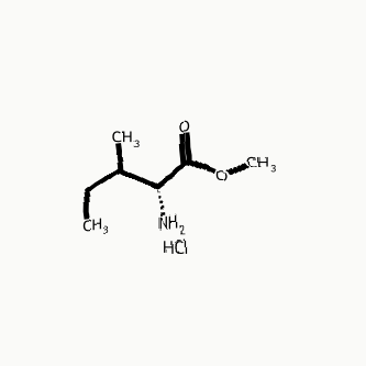 CCC(C)[C@@H](N)C(=O)OC.Cl